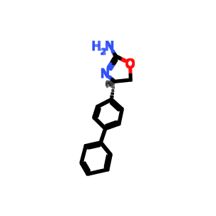 NC1=N[C@@H](c2ccc(-c3ccccc3)cc2)CO1